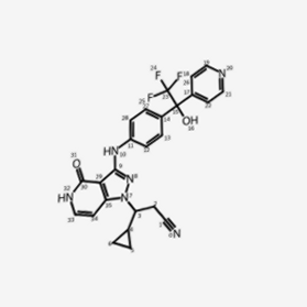 N#CCC(C1CC1)n1nc(Nc2ccc(C(O)(c3ccncc3)C(F)(F)F)cc2)c2c(=O)[nH]ccc21